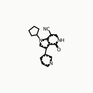 N#Cc1c[nH]c(=O)c2c(-c3cccnc3)cn(C3CCCC3)c12